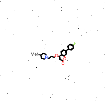 CNC1CCN(CCCOc2cc(=O)oc3cc(-c4ccc(F)cc4)ccc23)CC1